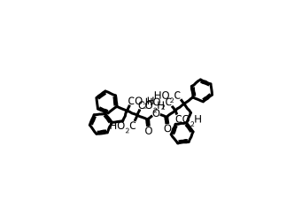 O=C(O)C(C(=O)O)(C(=O)OC(=O)C(C(=O)O)(C(=O)O)C(Cc1ccccc1)(C(=O)O)c1ccccc1)C(Cc1ccccc1)(C(=O)O)c1ccccc1